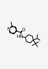 Cc1cc(C(=O)NC2CCC(C(C)C)(C(C)(C)C)CC2)ccn1